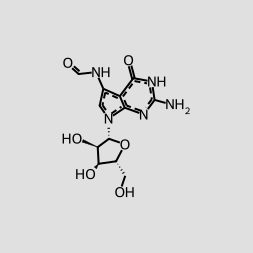 Nc1nc2c(c(NC=O)cn2[C@@H]2O[C@H](CO)[C@@H](O)[C@H]2O)c(=O)[nH]1